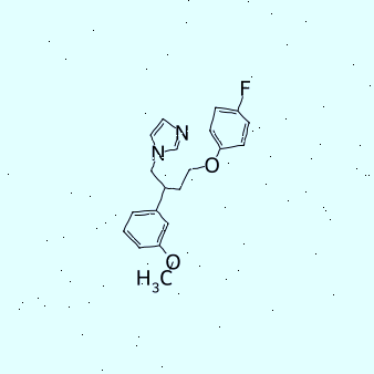 COc1cccc(C(CCOc2ccc(F)cc2)Cn2ccnc2)c1